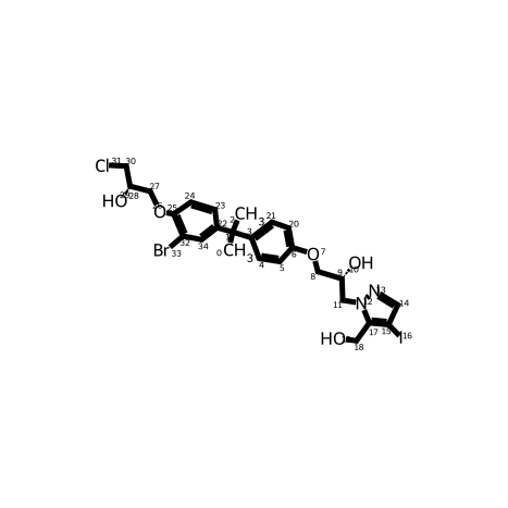 CC(C)(c1ccc(OC[C@H](O)Cn2ncc(I)c2CO)cc1)c1ccc(OC[C@H](O)CCl)c(Br)c1